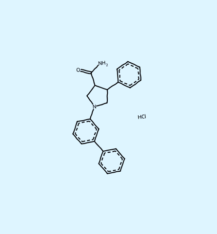 Cl.NC(=O)C1CN(c2cccc(-c3ccccc3)c2)CC1c1ccccc1